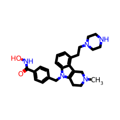 CN1CCc2c(c3c(CCN4CCNCC4)cccc3n2Cc2ccc(C(=O)NO)cc2)C1